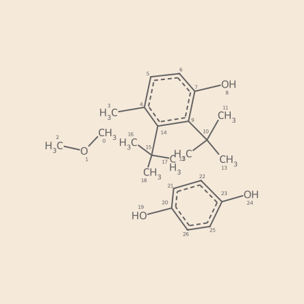 COC.Cc1ccc(O)c(C(C)(C)C)c1C(C)(C)C.Oc1ccc(O)cc1